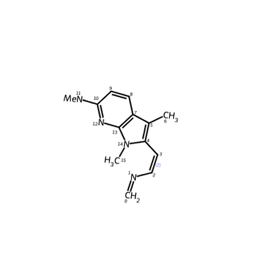 C=N/C=C\c1c(C)c2ccc(NC)nc2n1C